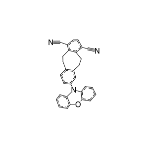 N#Cc1ccc(C#N)c2c1CCc1ccc(N3c4ccccc4Oc4ccccc43)cc1CC2